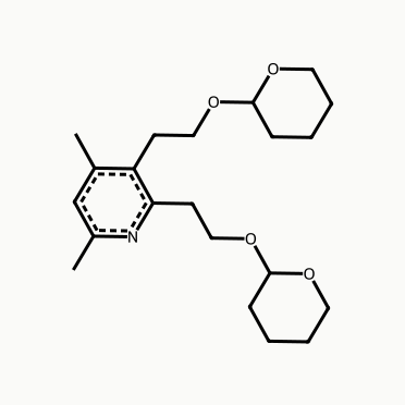 Cc1cc(C)c(CCOC2CCCCO2)c(CCOC2CCCCO2)n1